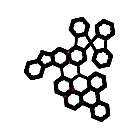 c1ccc(N(c2ccc3c(c2)C2(c4ccccc4-c4ccccc42)c2ccccc2-3)c2cccc3c4ccccc4c4ccccc4c23)c(-c2cccc3oc4ccccc4c23)c1